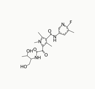 Cc1cc(NC(=O)c2c(C)c(C(=O)C(=O)NC(CO)C(C)O)n(C)c2C)cnc1F